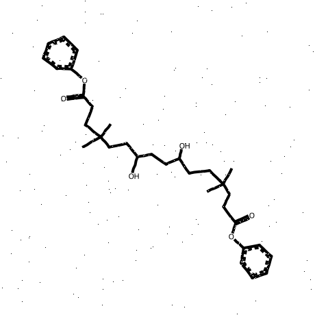 CC(C)(CCC(=O)Oc1ccccc1)CCC(O)CCC(O)CCC(C)(C)CCC(=O)Oc1ccccc1